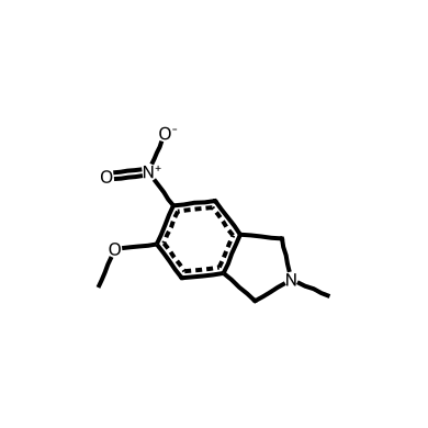 COc1cc2c(cc1[N+](=O)[O-])CN(C)C2